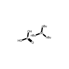 CCC[CH2][Sn]([CH2]CCC)[CH2]CCC.O=S(O)O